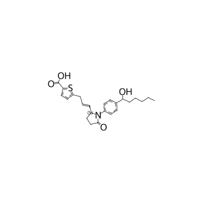 CCCCCC(O)c1ccc(N2C(=O)CC[C@H]2C=CCc2ccc(C(=O)O)s2)cc1